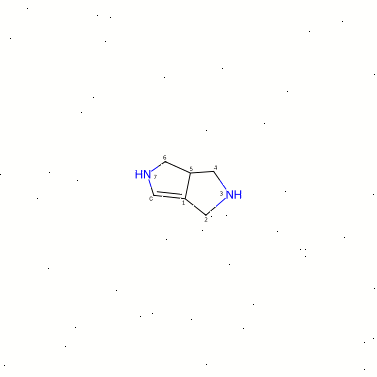 C1=C2CNCC2CN1